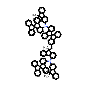 CC1(C)c2ccccc2-c2ccc(N(c3cccc4c3-c3ccccc3C4(C)Cc3ccc4c(c3)-c3ccccc3C43c4ccccc4-c4c(N(c5ccc6c(c5)C(C)(C)c5ccccc5-6)c5cccc6c5-c5ccccc5C65c6ccccc6-c6ccccc65)cccc43)c3cccc4c3-c3ccccc3C43c4ccccc4-c4ccccc43)cc21